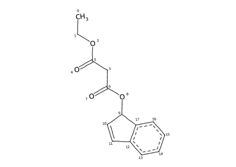 CCOC(=O)CC(=O)OC1C=Cc2ccccc21